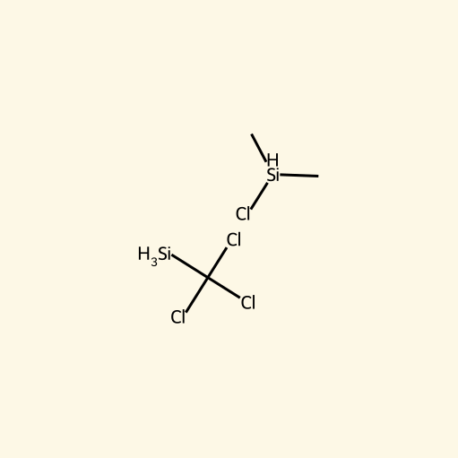 C[SiH](C)Cl.[SiH3]C(Cl)(Cl)Cl